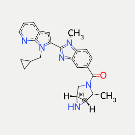 CC1[C@@H]2N[C@@H]2CN1C(=O)c1ccc2c(c1)nc(-c1cc3cccnc3n1CC1CC1)n2C